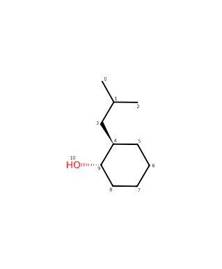 CC(C)C[C@H]1CCCC[C@@H]1O